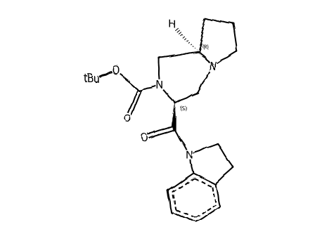 CC(C)(C)OC(=O)N1C[C@H]2CCCN2C[C@H]1C(=O)N1CCc2ccccc21